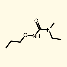 CCCONC(=O)N(C)CC